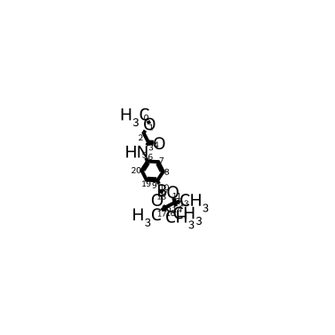 COCC(=O)Nc1ccc(B2OC(C)(C)C(C)(C)O2)cc1